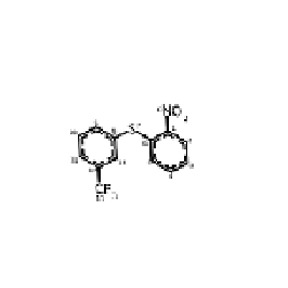 O=[N+]([O-])c1ccccc1Sc1cccc(C(F)(F)F)c1